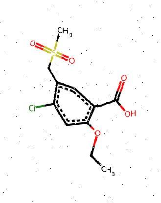 CCOc1cc(Cl)c(CS(C)(=O)=O)cc1C(=O)O